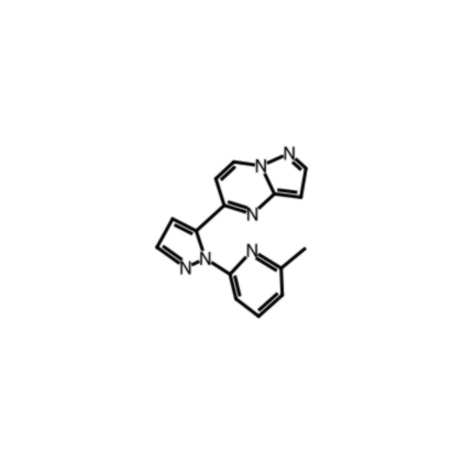 Cc1cccc(-n2nccc2-c2ccn3nccc3n2)n1